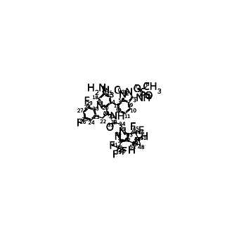 Cn1nc(NS(C)(=O)=O)c2cccc(-c3cc(N)cnc3[C@H](Cc3cc(F)cc(F)c3)NC(=O)Cn3nc(C(F)(F)F)c4c3C(F)(F)[C@@H]3C[C@H]43)c21